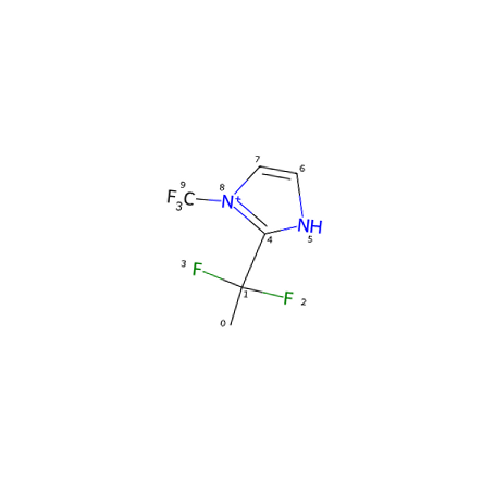 CC(F)(F)c1[nH]cc[n+]1C(F)(F)F